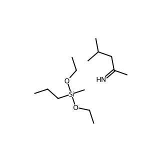 CC(=N)CC(C)C.CCC[Si](C)(OCC)OCC